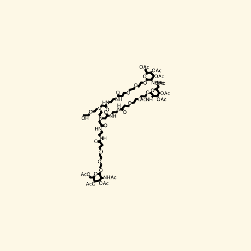 CC(=O)NC1C(OCCOCCOCCC(=O)NCCNC(=O)CN(CCOCCO)CCN(CC(=O)NCCNC(=O)CCOCCOCCOC2OC(COC(C)=O)C(OC(C)=O)C(OC(C)=O)C2NC(C)=O)CC(=O)NCCNC(=O)CCOCCOCCOC2OC(COC(C)=O)C(OC(C)=O)C(OC(C)=O)C2NC(C)=O)OC(COC(C)=O)C(OC(C)=O)C1OC(C)=O